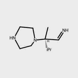 CC(C)[C@](C)(C=N)N1CCNCC1